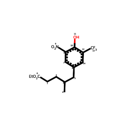 CCOC(=O)CCC(C)Cc1cc([N+](=O)[O-])c(O)c(C(F)(F)F)c1